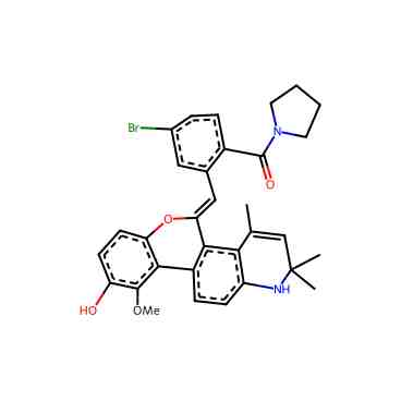 COc1c(O)ccc2c1-c1ccc3c(c1/C(=C/c1cc(Br)ccc1C(=O)N1CCCC1)O2)C(C)=CC(C)(C)N3